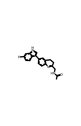 CC(=O)NCC1=Nc2ccc(-c3c[nH]c4cc(F)ccc34)cc2CC1